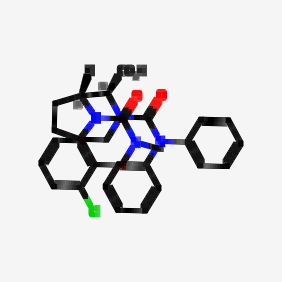 CN(Cc1ccccc1Cl)C(=O)N1C2CC[C@@H]1[C@@H](C(=O)O)N(C(=O)N(c1ccccc1)c1ccccc1)C2